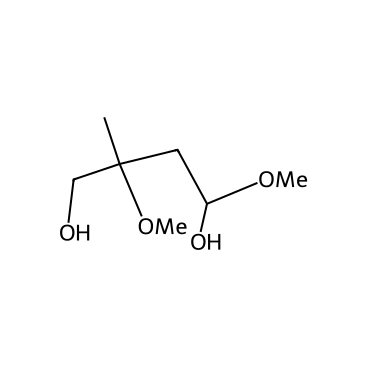 COC(O)CC(C)(CO)OC